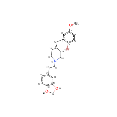 CCOc1ccc(Br)c(CC2CCN(CCc3ccc4c(c3)OCO4)CC2)c1